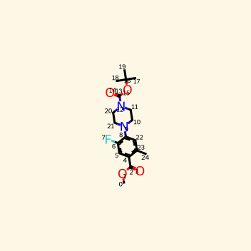 COC(=O)c1cc(F)c(N2CCN(C(=O)OC(C)(C)C)CC2)cc1C